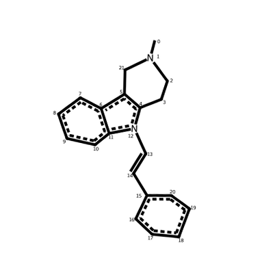 CN1CCc2c(c3ccccc3n2C=Cc2ccccc2)C1